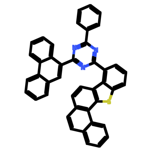 c1ccc(-c2nc(-c3cc4ccccc4c4ccccc34)nc(-c3cccc4sc5c(ccc6ccc7ccccc7c65)c34)n2)cc1